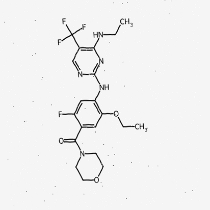 CCNc1nc(Nc2cc(F)c(C(=O)N3CCOCC3)cc2OCC)ncc1C(F)(F)F